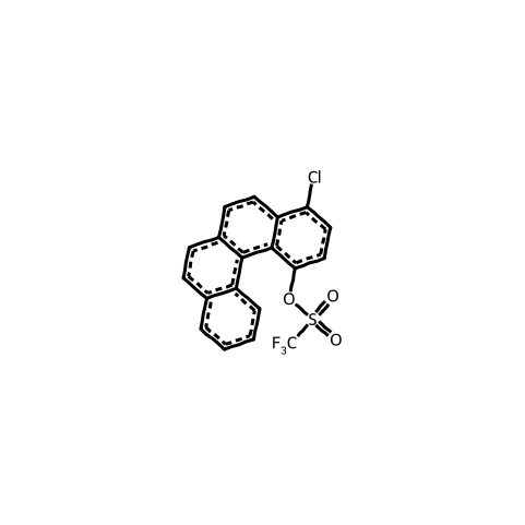 O=S(=O)(Oc1ccc(Cl)c2ccc3ccc4ccccc4c3c12)C(F)(F)F